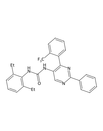 CCc1cccc(CC)c1NC(=O)Nc1cnc(-c2ccccc2)nc1-c1ccccc1C(F)(F)F